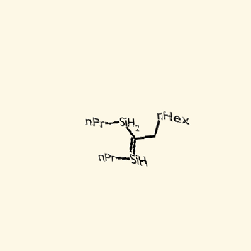 CCCCCCCC(=[SiH]CCC)[SiH2]CCC